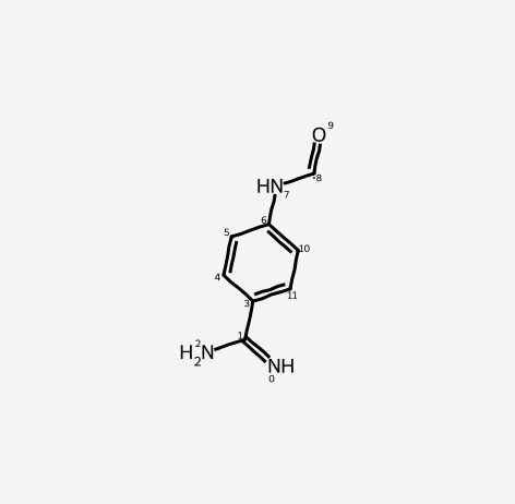 N=C(N)c1ccc(N[C]=O)cc1